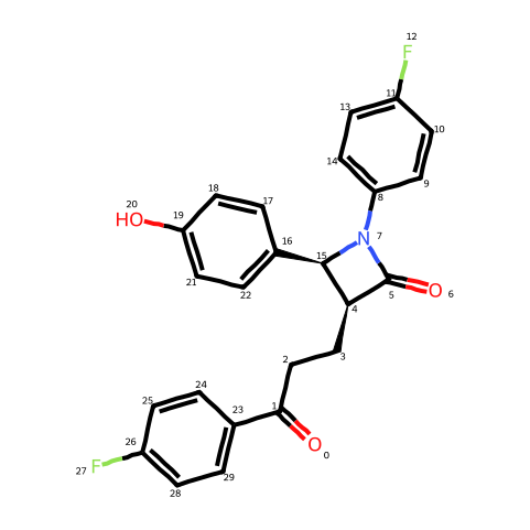 O=C(CC[C@@H]1C(=O)N(c2ccc(F)cc2)[C@@H]1c1ccc(O)cc1)c1ccc(F)cc1